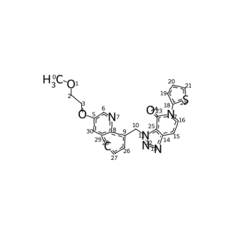 COCCOc1cnc2c(Cn3nnc4ccn(-c5cccs5)c(=O)c43)cccc2c1